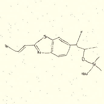 [CH2]C(O[Si](C)(C)C(C)(C)C)C(F)c1ccc2nc(/C=C/Br)sc2c1